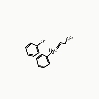 C=C[CH2][Al+2].[O-]c1ccccc1.[O-]c1ccccc1